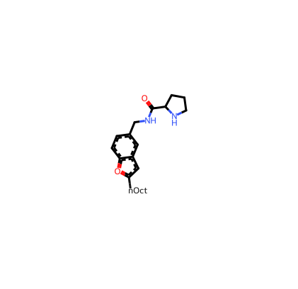 CCCCCCCCc1cc2cc(CNC(=O)C3CCCN3)ccc2o1